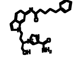 NC(=O)C1=NC[N+]([C@@H](CO)CCn2ccc3c2=CC(=NC(=O)CCCCc2ccccc2)CC=3)=C1